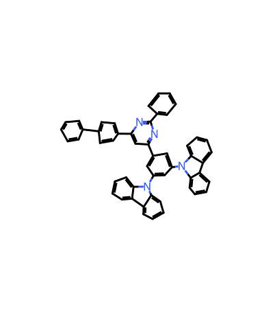 c1ccc(-c2ccc(-c3cc(-c4cc(-n5c6ccccc6c6ccccc65)cc(-n5c6ccccc6c6ccccc65)c4)nc(-c4ccccc4)n3)cc2)cc1